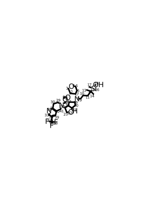 CO[C@@H]1COCC[C@@H]1N(CCCC(C)(C)[Si](C)(C)O)[C@@H]1C[C@H]2OCC[C@@]2(C(=O)N2CCc3ncc(C(F)(F)F)cc3C2)C1